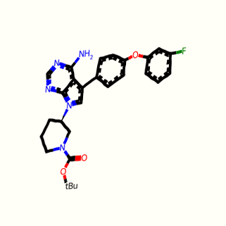 CC(C)(C)OC(=O)N1CCC[C@@H](n2cc(-c3ccc(Oc4cccc(F)c4)cc3)c3c(N)ncnc32)C1